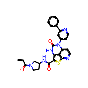 C=CC(=O)N1CCC(NC(=O)c2sc3nccc4c3c2NC(=O)N4c2ccnc(-c3ccccc3)c2)C1